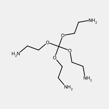 NCCOC(OCCN)(OCCN)OCCN